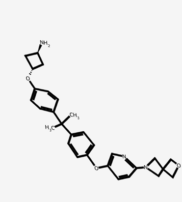 CC(C)(c1ccc(Oc2ccc(N3CC4(COC4)C3)nc2)cc1)c1ccc(O[C@H]2C[C@H](N)C2)cc1